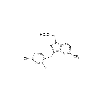 O=C(O)Cc1nn(Cc2ccc(Cl)cc2F)c2cc(C(F)(F)F)ccc12